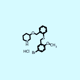 COc1ccc(Br)cc1CSc1ccccc1COC1CCCNC1.Cl